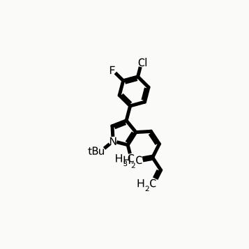 C=CC(=C)/C=C\c1c(-c2ccc(Cl)c(F)c2)cn(C(C)(C)C)c1C